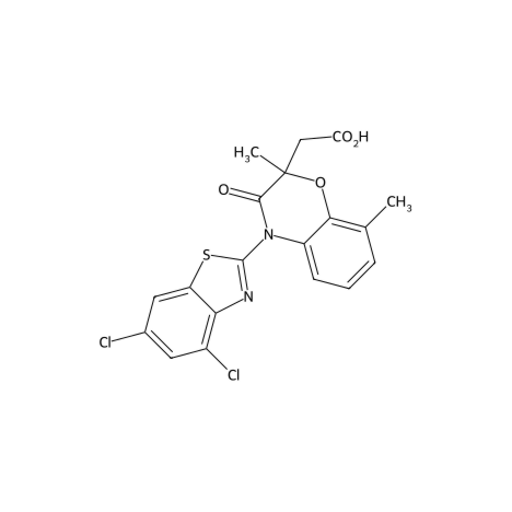 Cc1cccc2c1OC(C)(CC(=O)O)C(=O)N2c1nc2c(Cl)cc(Cl)cc2s1